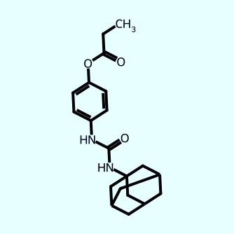 CCC(=O)Oc1ccc(NC(=O)NC23CC4CC(CC(C4)C2)C3)cc1